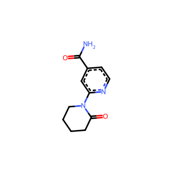 NC(=O)c1ccnc(N2CCCCC2=O)c1